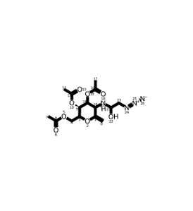 C=C1OC(COC(C)=O)[C@H](OC(C)=O)C(OC(C)=O)C1NC(O)CN=[N+]=[N-]